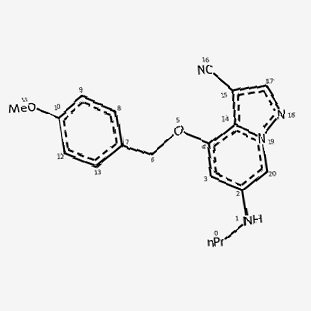 CCCNc1cc(OCc2ccc(OC)cc2)c2c(C#N)cnn2c1